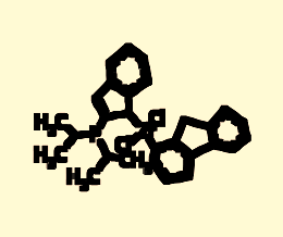 CC(C)P(C1=Cc2ccccc2[CH]1[Zr]([Cl])([Cl])[c]1cccc2c1Cc1ccccc1-2)C(C)C